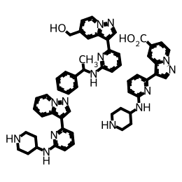 CC(Nc1cccc(-c2cnn3ccc(CO)cc23)n1)c1ccccc1.O=C(O)c1ccn2ncc(-c3cccc(NC4CCNCC4)n3)c2c1.c1cc(NC2CCNCC2)nc(-c2cnn3ccccc23)c1